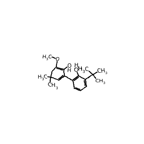 COC1=C(O)C(c2cccc(C(C)(C)C)c2O)=CC(C)(C)C1